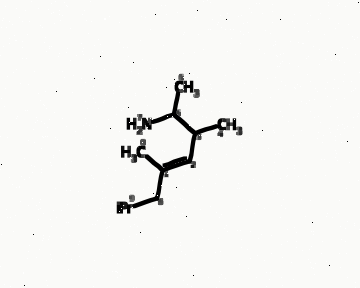 C/C(=C\C(C)C(C)N)CC(C)C